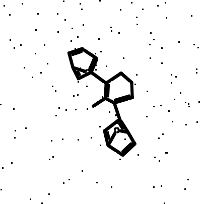 CC1=C(c2cc3ccc2o3)CCC=C1c1cc2ccc1o2